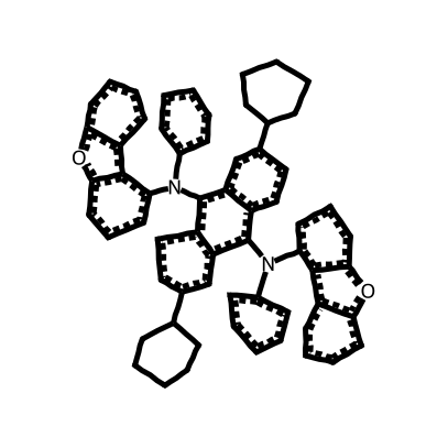 c1ccc(N(c2c3ccc(C4CCCCC4)cc3c(N(c3ccccc3)c3cccc4oc5ccccc5c34)c3ccc(C4CCCCC4)cc23)c2cccc3oc4ccccc4c23)cc1